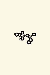 C1=Cc2c(ccc3c2c2cc(N(c4ccccc4)c4cccc5sc6c7ccccc7ccc6c45)ccc2n3-c2ccccc2)CC1